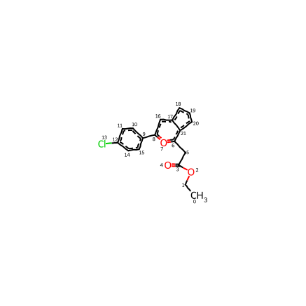 CCOC(=O)Cc1oc(-c2ccc(Cl)cc2)cc2cccc1-2